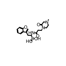 CN1CCN(CCC(=O)NC(Cc2coc3ccccc23)B(O)O)C(=O)C1